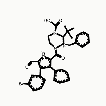 CC(C)(C)C1[C@@H](Cc2ccccc2)N(C(=O)c2[nH]c(C=O)c(-c3cccc(Br)c3)c2-c2ccccc2)CCN1C(=O)O